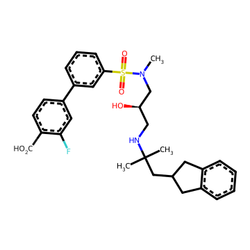 CN(C[C@H](O)CNC(C)(C)CC1Cc2ccccc2C1)S(=O)(=O)c1cccc(-c2ccc(C(=O)O)c(F)c2)c1